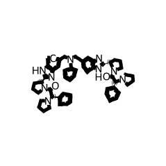 O=C([C@@H](c1ccccc1)N1CCCC1)N1CCC[C@H]1c1nc2cc(CN(Cc3ccc4[nH]c([C@@H]5CCCN5C(=O)[C@@H](c5ccccc5)N5CCCC5)nc4c3)c3ccccc3)ccc2[nH]1